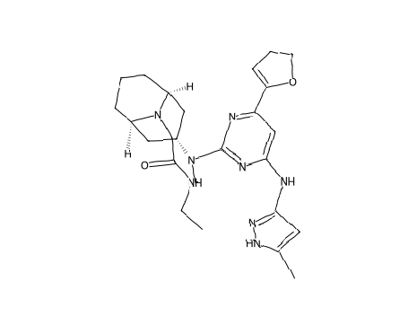 CCNC(=O)CN1[C@@H]2CCC[C@H]1C[C@H](N(C)c1nc(Nc3cc(C)[nH]n3)cc(C3=CCCO3)n1)C2